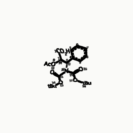 CC(=O)O[C@@H](C(=O)O)[C@H](c1ccccc1)N(C(=O)OC(C)(C)C)C(=O)OC(C)(C)C